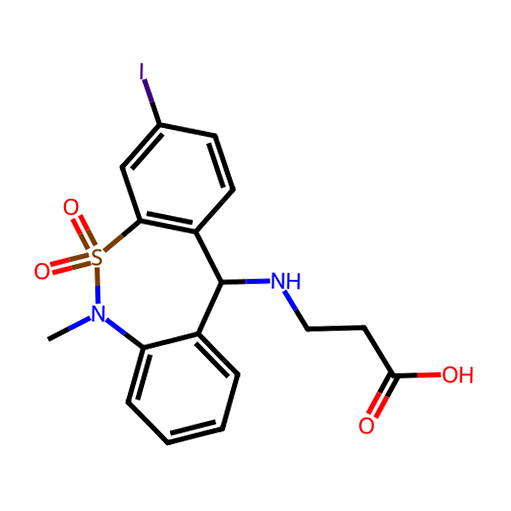 CN1c2ccccc2C(NCCC(=O)O)c2ccc(I)cc2S1(=O)=O